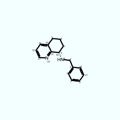 c1ccc(CN[C@H]2CCCc3cccnc32)cc1